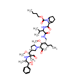 CCCCOC(=O)N1C2CCC(C2)C1C(=O)NC(C(=O)NC[C@@H]([C@@H](OC)[C@@H](C=O)N1CC[C@H]([C@@H](OC)[C@](C)(C=O)N[C@H](C)[C@@H](O)c2ccccc2)C1)[C@@H](C)CC)C(C)C